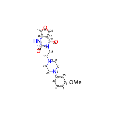 COc1cccc(N2CCN(CCn3c(=O)[nH]c4cocc4c3=O)CC2)c1